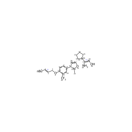 CCCC/C=C/COc1ccc(C2N=C([C@@H]3CCCN3/C(N)=N/O)ON2C)cc1C(F)(F)F